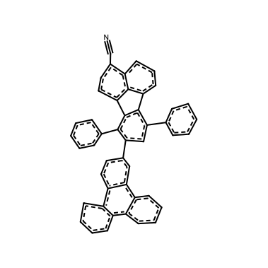 N#Cc1ccc2c3c(cccc13)-c1c(-c3ccccc3)cc(-c3ccc4c5ccccc5c5ccccc5c4c3)c(-c3ccccc3)c1-2